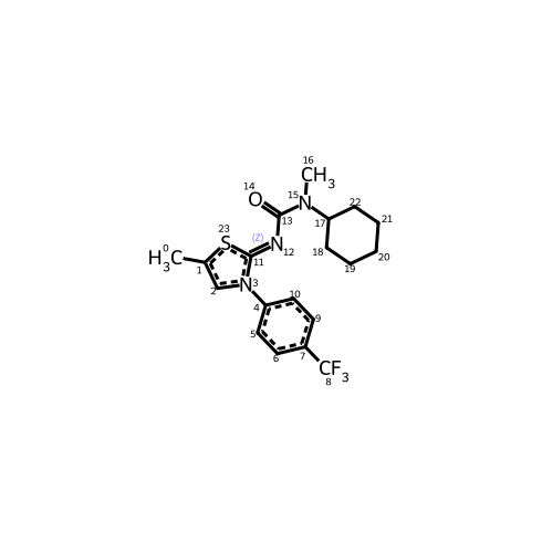 Cc1cn(-c2ccc(C(F)(F)F)cc2)/c(=N/C(=O)N(C)C2CCCCC2)s1